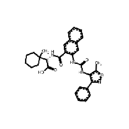 Cc1onc(-c2ccccc2)c1NC(=O)Nc1cc2ccccc2cc1C(=O)N[C@H](C(=O)O)C1(C)CCCCC1